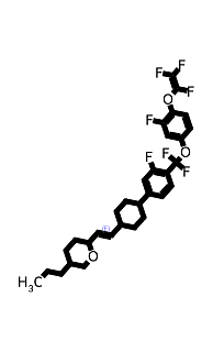 CCCC1CCC(/C=C/C2CCC(c3ccc(C(F)(F)Oc4ccc(OC(F)=C(F)F)c(F)c4)c(F)c3)CC2)OC1